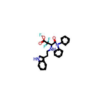 O=C(C(NCCc1c[nH]c2ccccc12)C(F)(F)C(=O)OF)N(c1ccccc1)c1ccccc1